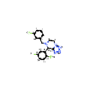 Fc1cccc(CN2CCn3nnnc3C2c2cc(F)ccc2F)c1